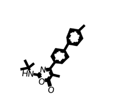 Cc1ccc(-c2ccc(-c3nc(NC(C)(C)C)oc(=O)c3C)cc2)cc1